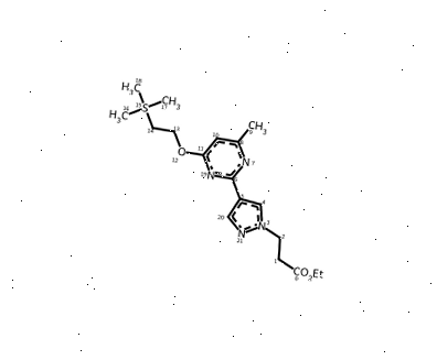 CCOC(=O)CCn1cc(-c2nc(C)cc(OCCS(C)(C)C)n2)cn1